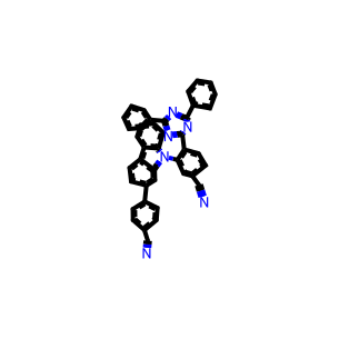 N#Cc1ccc(-c2ccc3c4ccccc4n(-c4cc(C#N)ccc4-c4nc(-c5ccccc5)nc(-c5ccccc5)n4)c3c2)cc1